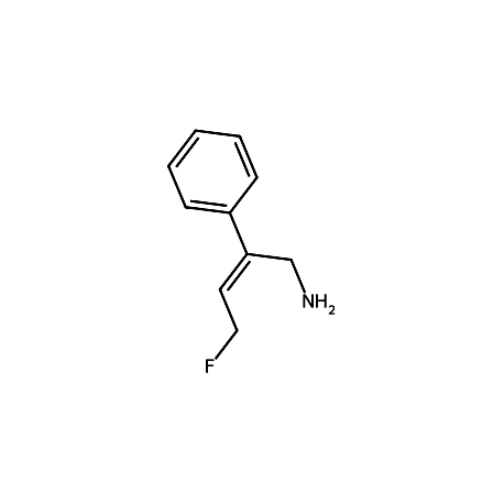 NCC(=CCF)c1ccccc1